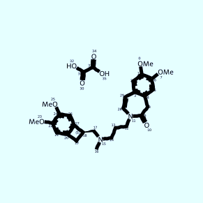 COc1cc2c(cc1OC)CC(=O)N(CCCN(C)C[C@H]1Cc3cc(OC)c(OC)cc31)C=C2.O=C(O)C(=O)O